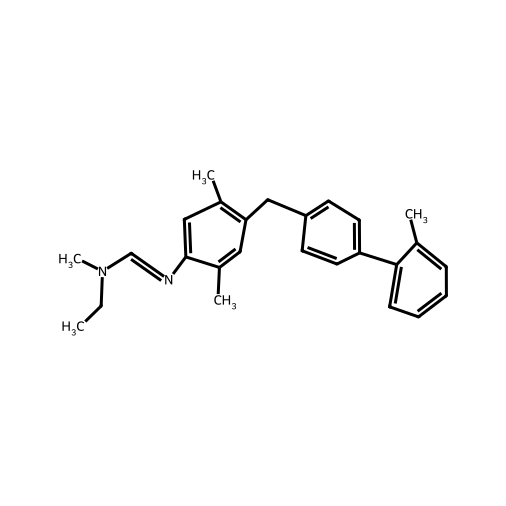 CCN(C)C=Nc1cc(C)c(Cc2ccc(-c3ccccc3C)cc2)cc1C